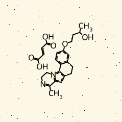 CC1=NCCn2c1cc1c2-c2ccc(OCCC(C)O)cc2CC1.O=C(O)C=CC(=O)O